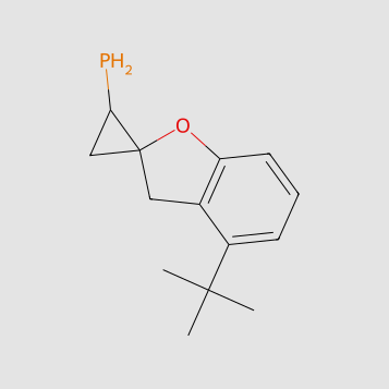 CC(C)(C)c1cccc2c1CC1(CC1P)O2